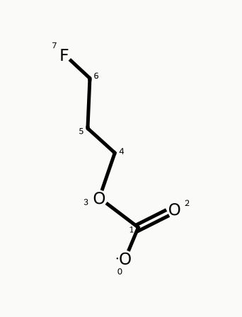 [O]C(=O)OCCCF